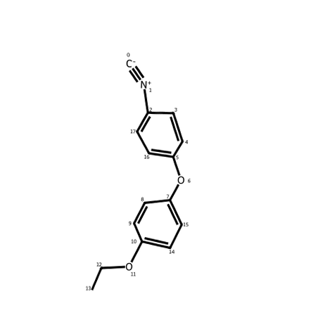 [C-]#[N+]c1ccc(Oc2ccc(OCC)cc2)cc1